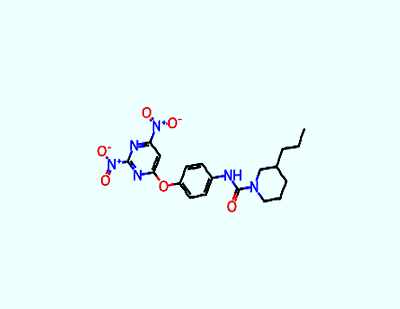 CCCC1CCCN(C(=O)Nc2ccc(Oc3cc([N+](=O)[O-])nc([N+](=O)[O-])n3)cc2)C1